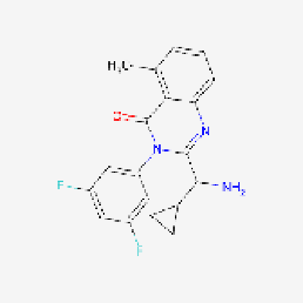 Cc1cccc2nc(C(N)C3CC3)n(-c3cc(F)cc(F)c3)c(=O)c12